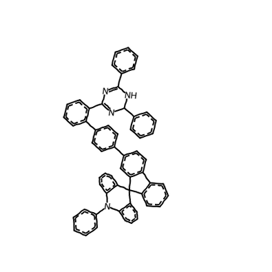 c1ccc(C2=NC(c3ccccc3-c3ccc(-c4ccc5c(c4)C4(c6ccccc6-5)c5ccccc5N(c5ccccc5)c5ccccc54)cc3)=NC(c3ccccc3)N2)cc1